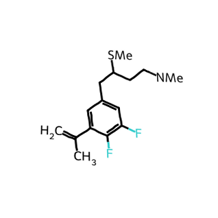 C=C(C)c1cc(CC(CCNC)SC)cc(F)c1F